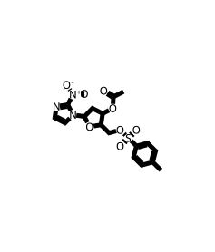 CC(=O)OC1CC(n2ccnc2[N+](=O)[O-])OC1COS(=O)(=O)c1ccc(C)cc1